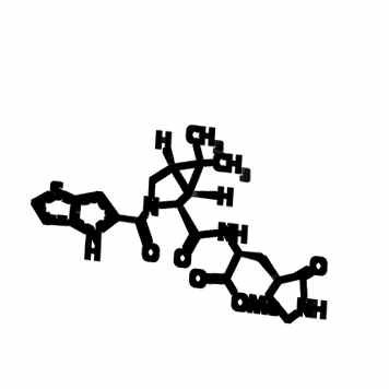 COC(=O)[C@H](C[C@@H]1CCNC1=O)NC(=O)[C@@H]1[C@@H]2[C@H](CN1C(=O)c1cc3sccc3[nH]1)C2(C)C